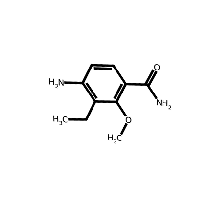 CCc1c(N)ccc(C(N)=O)c1OC